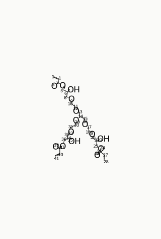 C=CC(=O)OCC(O)COCCOCC(COCCOCC(O)COC(=O)C=C)OCCOCC(O)COC(=O)C=C